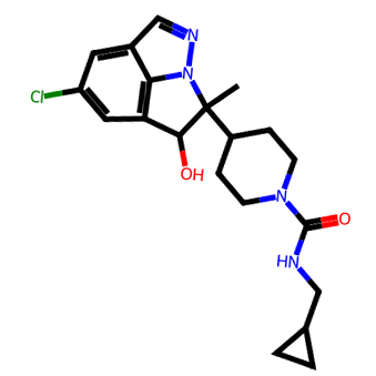 CC1(C2CCN(C(=O)NCC3CC3)CC2)C(O)c2cc(Cl)cc3cnn1c23